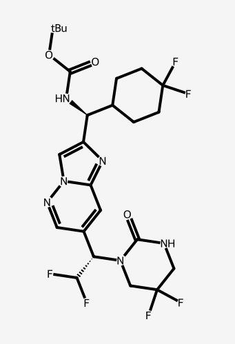 CC(C)(C)OC(=O)N[C@H](c1cn2ncc([C@@H](C(F)F)N3CC(F)(F)CNC3=O)cc2n1)C1CCC(F)(F)CC1